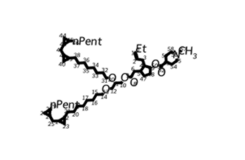 CC/C=C\CC1C(CC(=O)OCC(COCCCCCCCCC2CC2CC2CC2CCCCC)OCCCCCCCCC2CC2CC2CC2CCCCC)CCC1OC(=O)C1CCN(C)CC1